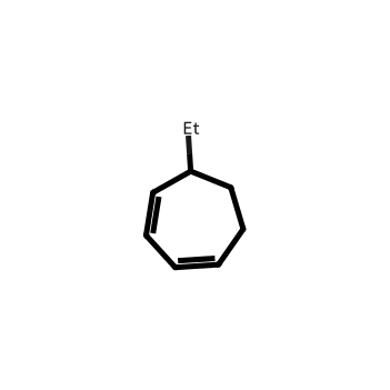 CCC1C=CC=CCC1